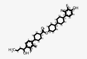 CCCC(O)c1ccc(C2CCC(C(=O)OC3CCC(C4CCC(c5ccc(O)c(F)c5F)CC4)CC3)CC2)c(F)c1F